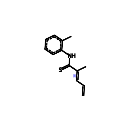 C=C/C=C(\C)C(=S)Nc1ccccc1C